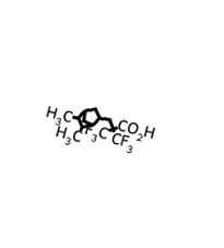 CC1C2CC(CC(C(=O)O)(C(F)(F)F)C(F)(F)F)C(C2)C1C